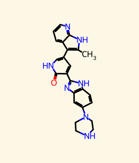 Cc1[nH]c2ncccc2c1-c1c[nH]c(=O)c(-c2nc3cc(N4CCNCC4)ccc3[nH]2)c1